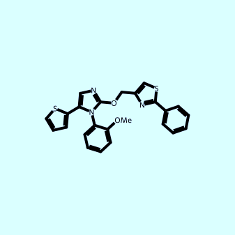 COc1ccccc1-n1c(-c2cccs2)cnc1OCc1csc(-c2ccccc2)n1